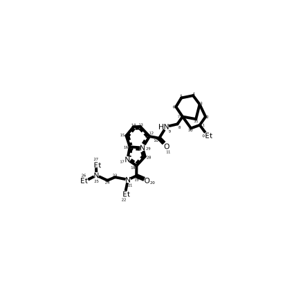 CCC1CC2CCCC(CNC(=O)c3cccc4nc(C(=O)N(CC)CCN(CC)CC)cn34)(C1)C2